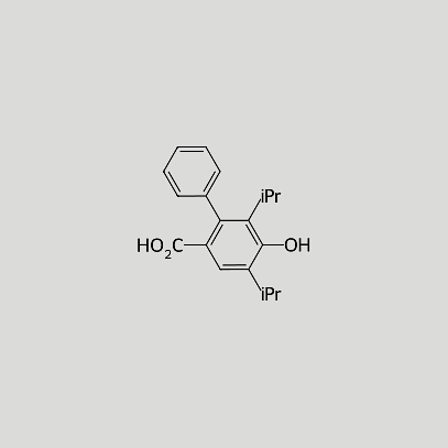 CC(C)c1cc(C(=O)O)c(-c2ccccc2)c(C(C)C)c1O